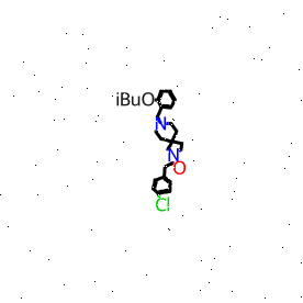 CC(C)COc1ccccc1CN1CCC2(CC1)CCN(C(=O)Cc1ccc(Cl)cc1)C2